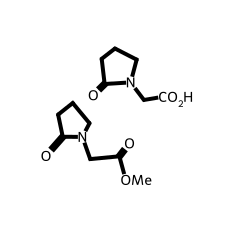 COC(=O)CN1CCCC1=O.O=C(O)CN1CCCC1=O